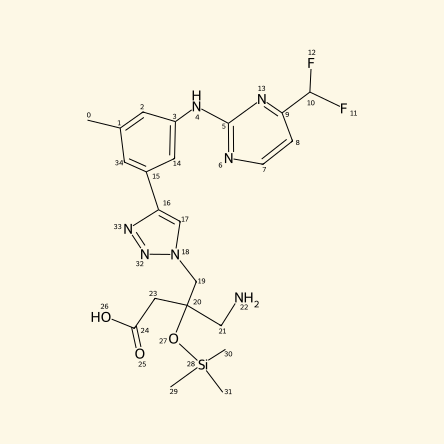 Cc1cc(Nc2nccc(C(F)F)n2)cc(-c2cn(CC(CN)(CC(=O)O)O[Si](C)(C)C)nn2)c1